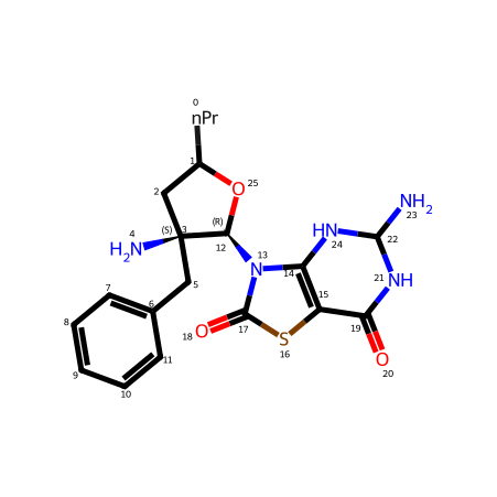 CCCC1C[C@@](N)(Cc2ccccc2)[C@H](n2c3c(sc2=O)C(=O)NC(N)N3)O1